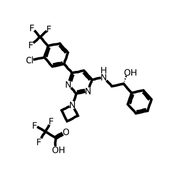 O=C(O)C(F)(F)F.O[C@@H](CNc1cc(-c2ccc(C(F)(F)F)c(Cl)c2)nc(N2CCC2)n1)c1ccccc1